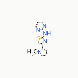 CN1CCCC1c1csc(Nc2ncccn2)n1